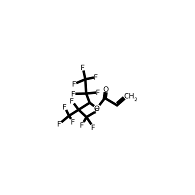 C=CC(=O)OC(C(F)(F)C(F)(F)F)C(F)(C(F)(F)F)C(F)(F)F